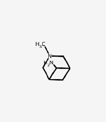 CN1CC2CC(C1)C2N